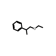 CCO[CH]C(C)c1ccccc1